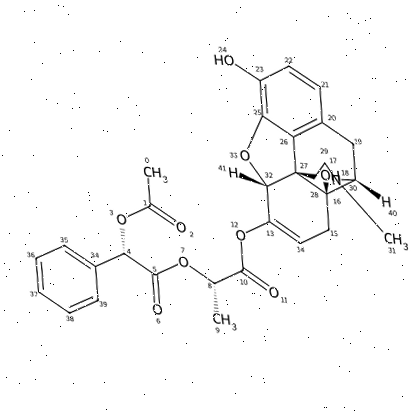 CC(=O)O[C@H](C(=O)O[C@@H](C)C(=O)OC1=CC[C@@]2(O)[C@H]3Cc4ccc(O)c5c4[C@@]2(CCN3C)[C@H]1O5)c1ccccc1